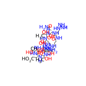 CCCCCCCCCCCCCCCC(=O)N[C@@H](CCCNC(=N)N)C(=O)N[C@@H](CCC(N)=O)C(=O)N[C@H](C(=O)N[C@@H](CCCNC(=N)N)C(=O)N[C@@H](CO)C(=O)N[C@@H](CO)C(=O)N[C@H](C(=O)N[C@@H](CCC(=O)O)C(=O)N[C@H](C(N)=O)[C@@H](C)O)[C@@H](C)O)[C@@H](C)O